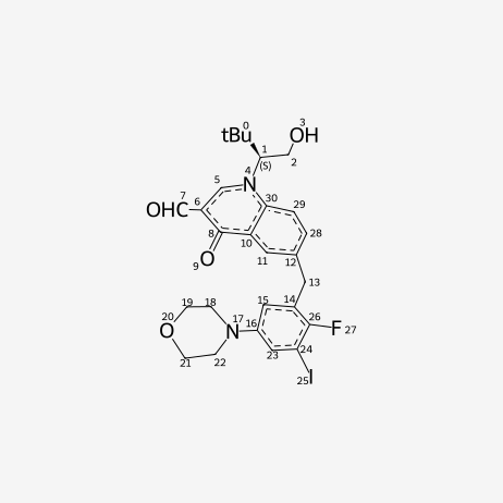 CC(C)(C)[C@@H](CO)n1cc(C=O)c(=O)c2cc(Cc3cc(N4CCOCC4)cc(I)c3F)ccc21